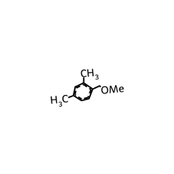 COCc1ccc(C)cc1C